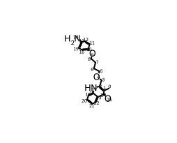 Cc1c(COCCCCOc2ccc(N)cc2)[nH]c2ccccc2c1=O